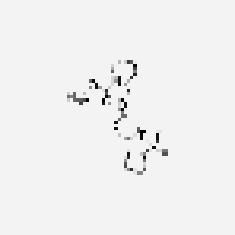 COC(=O)N1CCCCC1CO[C@H]1CC[C@@H](c2ccccc2C(F)(F)F)CC1